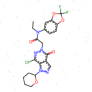 CCN(C(=O)Cn1nc(Cl)c2c(cnn2C2CCCCO2)c1=O)c1ccc2c(c1)OC(F)(F)O2